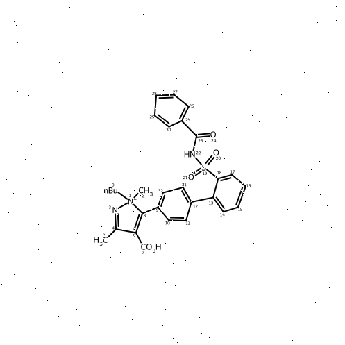 CCCC[N+]1(C)N=C(C)C(C(=O)O)=C1c1ccc(-c2ccccc2S(=O)(=O)NC(=O)c2ccccc2)cc1